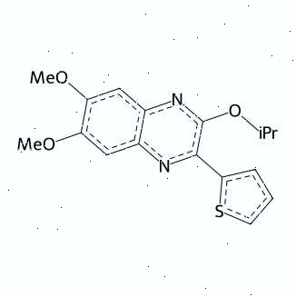 COc1cc2nc(OC(C)C)c(-c3cccs3)nc2cc1OC